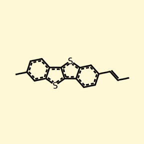 CC=Cc1ccc2c(c1)sc1c3ccc(C)cc3sc21